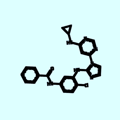 O=C(Nc1ccc(Cl)c(Nc2nccn2-c2cc(NC3CC3)ncn2)c1)c1ccccc1